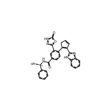 CCC[C@@H](NC(=O)c1ccc(C2=C(c3nc4ccccc4[nH]3)C=CC2)c(-c2n[nH]c(=O)o2)c1)c1ccccc1